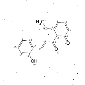 COC1=CC=CC(=O)C1C(=O)/C=C/c1ccccc1O